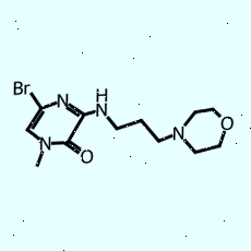 Cn1cc(Br)nc(NCCCN2CCOCC2)c1=O